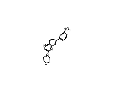 O=[N+]([O-])c1cccc(-c2ccc3ncc(N4CCOCC4)nc3c2)c1